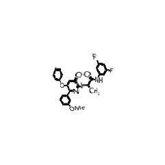 COc1cccc(-c2nn(C(C)C(=O)Nc3cc(F)cc(F)c3)c(=O)cc2Oc2ccccc2)c1